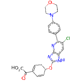 O=C(O)C(=O)C1=CCC(Oc2nc3nc(-c4ccc(N5CCOCC5)cc4)c(Cl)cc3[nH]2)C=C1